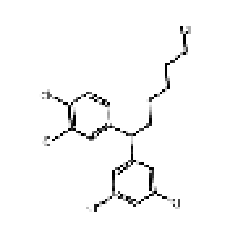 OCCCCCC(c1cc(Cl)cc(Cl)c1)c1ccc(Cl)c(Cl)c1